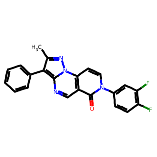 Cc1nn2c(ncc3c(=O)n(-c4ccc(F)c(F)c4)ccc32)c1-c1ccccc1